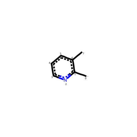 [CH2]c1ncccc1C